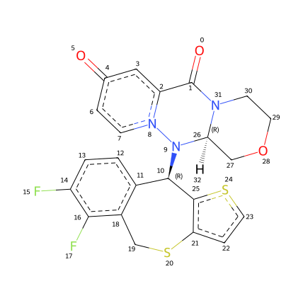 O=C1c2cc(=O)ccn2N([C@@H]2c3ccc(F)c(F)c3CSc3ccsc32)[C@@H]2COCCN12